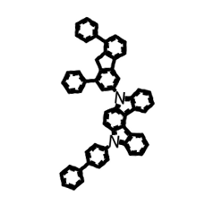 c1ccc(-c2ccc(-n3c4ccccc4c4c5c6ccccc6n(-c6cc(-c7ccccc7)c7c(c6)-c6cccc(-c8ccccc8)c6C7)c5ccc43)cc2)cc1